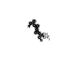 C=C/C=C(\C=C)N(c1cccc(C#N)c1)c1ccc2c(c1)c1cccc3c4cc5c(cc4n2c13)c1cccc2c3cc(N(c4ccccc4)c4cccc(C#N)c4)ccc3n5c21